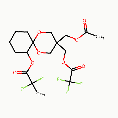 CC(=O)OCC1(COC(=O)C(F)(F)F)COC2(CCCCC2OC(=O)C(C)(F)F)OC1